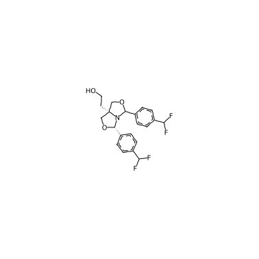 OCC[C@]12COC(c3ccc(C(F)F)cc3)N1[C@H](c1ccc(C(F)F)cc1)OC2